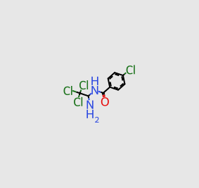 NC(NC(=O)c1ccc(Cl)cc1)C(Cl)(Cl)Cl